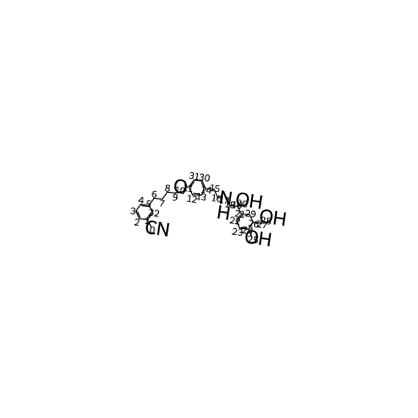 N#Cc1cccc(CCCCOc2ccc(CCNCC(O)C3=CC=C(O)C(CO)C3)cc2)c1